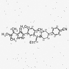 C=C(c1nnc(-c2cc(/C(=C\CC)N3CCC(c4ccc(C#N)cc4)CC3)c(C)cc2C)[nH]1)N(C)C